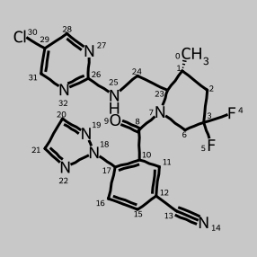 C[C@@H]1CC(F)(F)CN(C(=O)c2cc(C#N)ccc2-n2nccn2)C1CNc1ncc(Cl)cn1